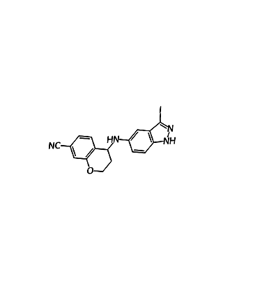 N#Cc1ccc2c(c1)OCCC2Nc1ccc2[nH]nc(I)c2c1